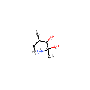 CCC(CC(C)C)C(O)C(C)(N)O